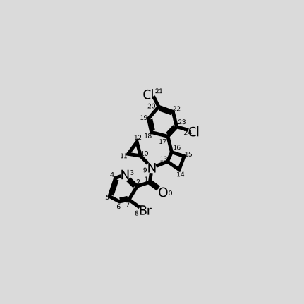 O=C(c1ncccc1Br)N(C1CC1)C1CCC1c1ccc(Cl)cc1Cl